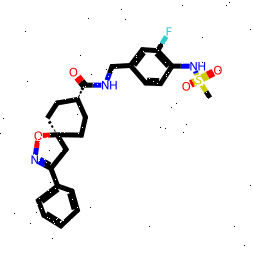 CS(=O)(=O)Nc1ccc(CNC(=O)[C@H]2CC[C@]3(CC2)CC(c2ccccc2)=NO3)cc1F